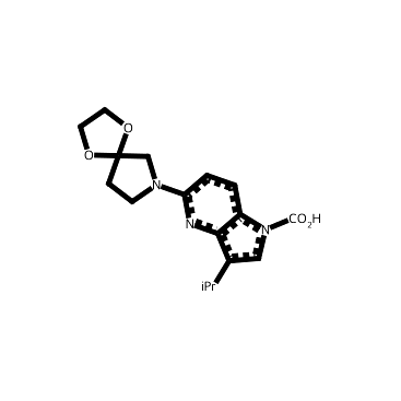 CC(C)c1cn(C(=O)O)c2ccc(N3CCC4(C3)OCCO4)nc12